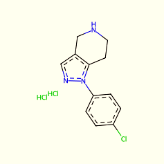 Cl.Cl.Clc1ccc(-n2ncc3c2CCNC3)cc1